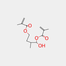 C=C(C)C(=O)OCCC(C)C(O)OC(=O)C(=C)C